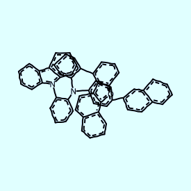 c1ccc(N(c2ccc(-c3ccc4ccccc4c3)cc2)c2ccccc2-n2c3ccccc3c3ccccc32)c(-c2cccc3oc4c5ccccc5ccc4c23)c1